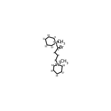 C[N+]1(CCCC(Br)[N+]2(C)CCCCC2)CCCCC1